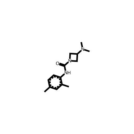 Cc1ccc(NC(=O)N2CC(N(C)C)C2)c(C)c1